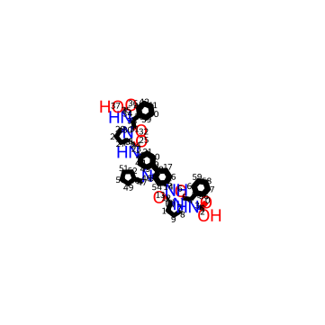 O=C(O)NC(C(=O)N1CCC[C@H]1C(=O)Nc1ccc2c3ccc(NC(=O)[C@@H]4CCCN4C(=O)C(NC(=O)O)c4ccccc4)cc3n(CC3CCCC3)c2c1)c1ccccc1